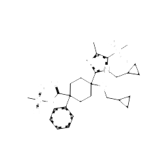 Cc1nc(C2(OCC3CC3)CCC(C(=O)OS(C)(=O)=O)(c3ccccc3)CC2)n(CC2CC2)c1S(C)(=O)=O